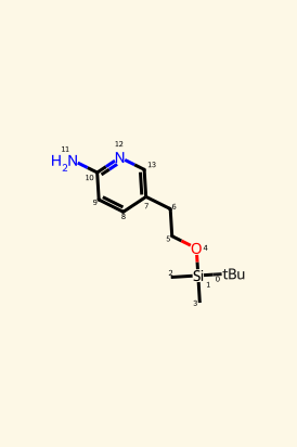 CC(C)(C)[Si](C)(C)OCCc1ccc(N)nc1